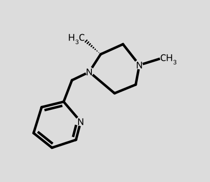 C[C@@H]1CN(C)CCN1Cc1ccccn1